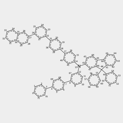 c1ccc(-c2ccc(-c3cccc(N(c4ccc(-c5ccc(-c6cccc(-c7ccc8ccccc8c7)c6)cc5)cc4)c4ccc5c(c4)C(c4ccccc4)(c4ccccc4)c4ccccc4-5)c3)cc2)cc1